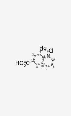 O=C(O)c1ccc2c(Cl)cccc2c1.[Hg]